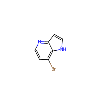 Brc1ccnc2cc[nH]c12